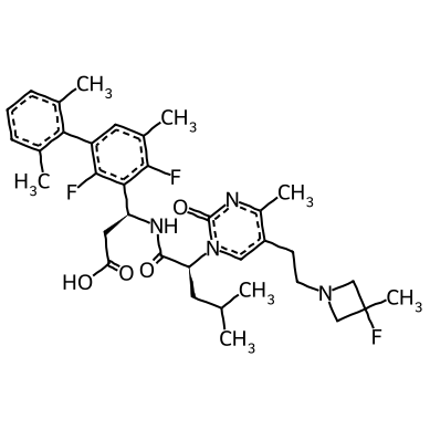 Cc1cc(-c2c(C)cccc2C)c(F)c([C@H](CC(=O)O)NC(=O)[C@H](CC(C)C)n2cc(CCN3CC(C)(F)C3)c(C)nc2=O)c1F